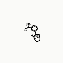 NC(=O)c1cccc(C2=CC3CCC(C2)N3P)c1